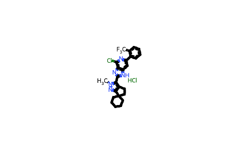 Cl.Cn1nc2c(c1-c1nc3c(Cl)nc(-c4ccccc4C(F)(F)F)cc3[nH]1)CCC21CCCCC1